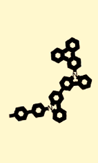 Cc1ccc(-c2ccc(-n3c4ccccc4c4cc(-c5ccc6c(c5)c5ccccc5n6-c5ccc6c7ccccc7c7ccccc7c6c5)ccc43)cc2)cc1